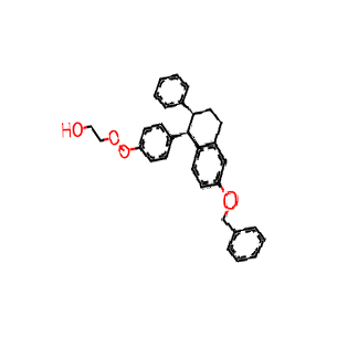 OCCOOc1ccc([C@@H]2c3ccc(OCc4ccccc4)cc3CC[C@@H]2c2ccccc2)cc1